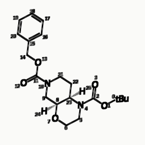 CC(C)(C)OC(=O)N1CCO[C@H]2CN(C(=O)OCc3ccccc3)CC[C@H]21